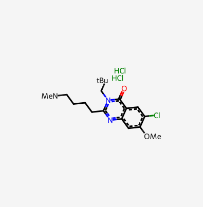 CNCCCCc1nc2cc(OC)c(Cl)cc2c(=O)n1CC(C)(C)C.Cl.Cl